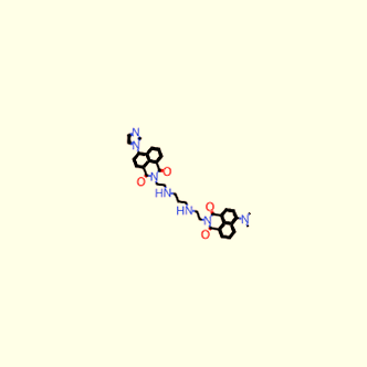 CN(C)c1ccc2c3c(cccc13)C(=O)N(CCNCCCNCCN1C(=O)c3cccc4c(-n5ccnc5)ccc(c34)C1=O)C2=O